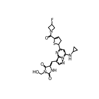 O=C(C1=CCC(c2cc(NC3CC3)n3ncc(/C=C4\NC(=O)N(CO)C4=O)c3n2)S1)N1CC(F)C1